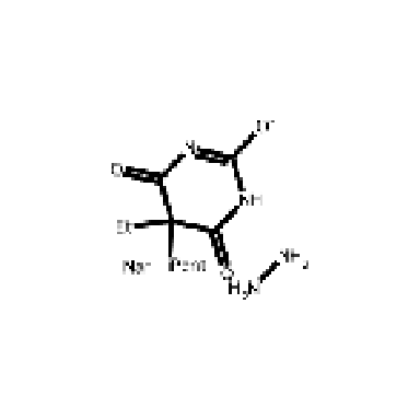 CCCC(C)C1(CC)C(=O)N=C([O-])NC1=O.NN.[Na+]